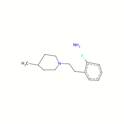 CC1CCN(CCc2ccccc2F)CC1.N